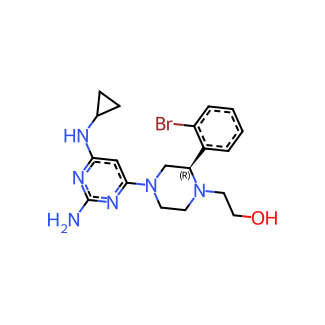 Nc1nc(NC2CC2)cc(N2CCN(CCO)[C@H](c3ccccc3Br)C2)n1